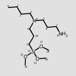 CCCCN(CCCN)CCC[Si](OC)(OC)OC